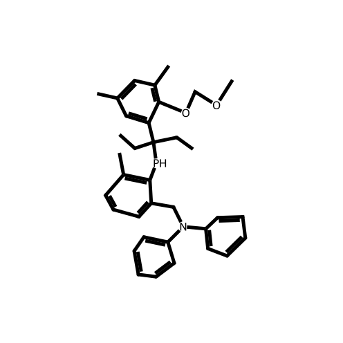 CCC(CC)(Pc1c(C)cccc1CN(c1ccccc1)c1ccccc1)c1cc(C)cc(C)c1OCOC